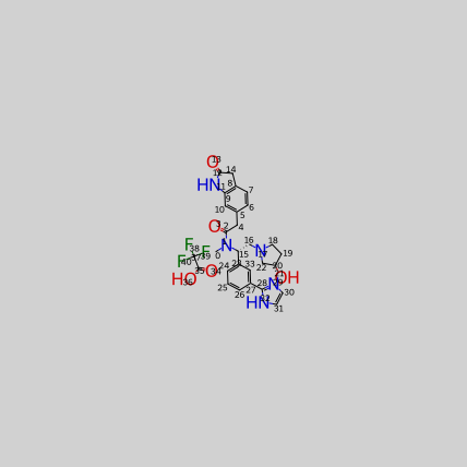 CN(C(=O)Cc1ccc2c(c1)NC(=O)C2)[C@H](CN1CCC(O)C1)c1cccc(-c2ncc[nH]2)c1.O=C(O)C(F)(F)F